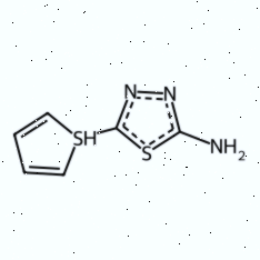 Nc1nnc([SH]2C=CC=C2)s1